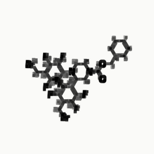 O=C(OCc1ccccc1)N1CCN(c2c(F)c(F)c(CBr)c(F)c2F)C(c2c(F)c(F)c(CBr)c(F)c2F)C1